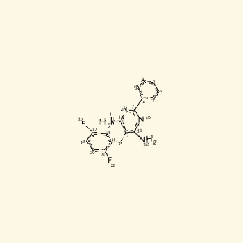 Nc1nc(-c2ccccn2)nc(N)c1Cc1cc(F)ccc1F